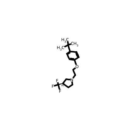 CC(C)(C)c1ccc(OCCN2CC[C@@H](C(F)(F)F)C2)cc1